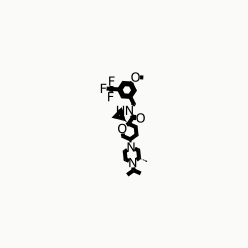 COc1cc(CNC(=O)[C@@]2(C3CC3)CC[C@@H](N3CCN(C(C)C)[C@@H](C)C3)CO2)cc(C(F)(F)F)c1